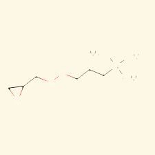 CO[Si](CCCOOCC1CO1)(OC)OC